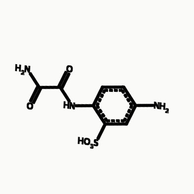 NC(=O)C(=O)Nc1ccc(N)cc1S(=O)(=O)O